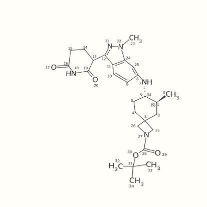 C[C@H]1CC2(CC[C@@H]1Nc1ccc3c(C4CCC(=O)NC4=O)nn(C)c3c1)CN(C(=O)OC(C)(C)C)C2